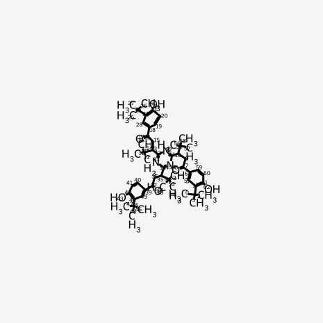 CC(C)(C)c1cc(C(=O)CC(c2nc(C(CC(=O)c3ccc(O)c(C(C)(C)C)c3)C(C)(C)C)nc(C(CC(=O)c3ccc(O)c(C(C)(C)C)c3)C(C)(C)C)n2)C(C)(C)C)ccc1O